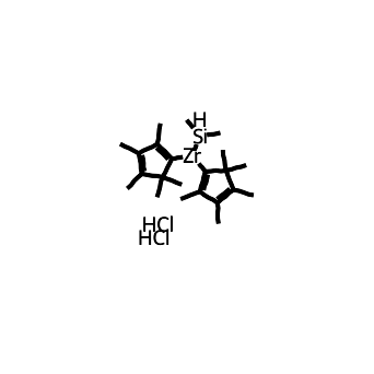 CC1=C(C)C(C)(C)[C]([Zr]([C]2=C(C)C(C)=C(C)C2(C)C)[SiH](C)C)=C1C.Cl.Cl